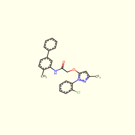 Cc1ccc(-c2ccccc2)cc1NC(=O)COc1cc(C(F)(F)F)nn1-c1ccccc1Cl